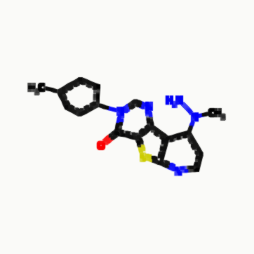 Cc1ccc(-n2cnc3c(sc4nccc(N(C)N)c43)c2=O)cc1